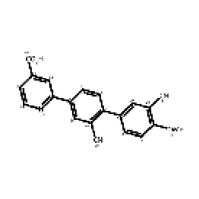 COc1ccc(-c2ccc(-c3cc(C(=O)O)ccn3)cc2C#N)cc1C#N